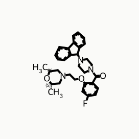 C[C@@H]1CN(CCOc2cc(F)ccc2C(=O)N2CCN(C3c4ccccc4-c4ccccc43)CC2)C[C@H](C)O1